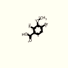 COc1c(Br)ccc(C(=O)O)c1F